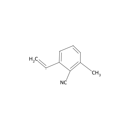 C=[C]c1cccc(C)c1C#N